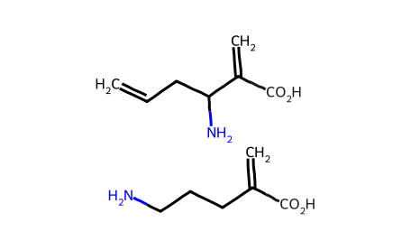 C=C(CCCN)C(=O)O.C=CCC(N)C(=C)C(=O)O